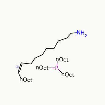 CCCCCCCC/C=C\CCCCCCCCN.CCCCCCCCP(CCCCCCCC)CCCCCCCC